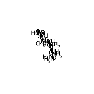 CN(CCN(C)C(=O)Oc1cc2c(c3ccccc13)[C@H](CCl)CN2C(=O)c1ccc(C(=O)N2C[C@@H](CCl)c3c2cc(OP(=O)(O)O)c2ccccc32)s1)C(=O)OCc1ccc(NC(=O)C(N)CCC(N)C(N)=O)cc1